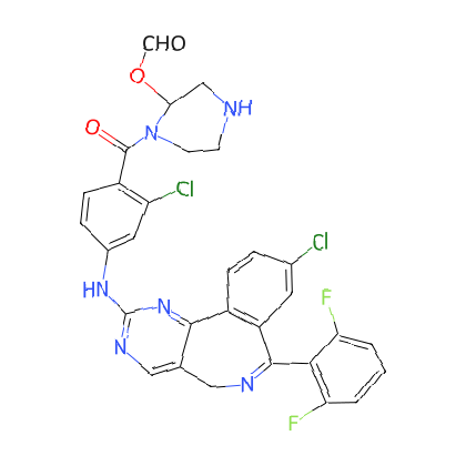 O=COC1CNCCN1C(=O)c1ccc(Nc2ncc3c(n2)-c2ccc(Cl)cc2C(c2c(F)cccc2F)=NC3)cc1Cl